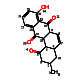 CC1CC(=O)C2C(C=CC3C(=O)c4c(O)cccc4C(=O)C32)C1